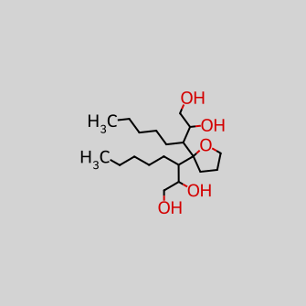 CCCCCC(C(O)CO)C1(C(CCCCC)C(O)CO)CCCO1